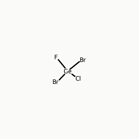 [F][Ge]([Cl])([Br])[Br]